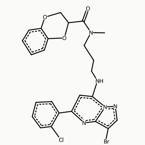 CN(CCCNc1cc(-c2ccccc2Cl)nc2c(Br)cnn12)C(=O)C1COc2ccccc2O1